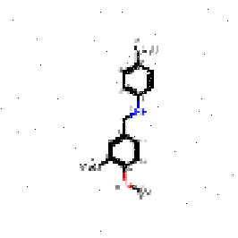 COc1cc(CNc2ccc(C(=O)O)cc2)ccc1OC(C)(C)C